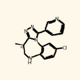 C[C@@H]1CNc2ccc(Cl)cc2-n2c(-c3cccnc3)nnc21